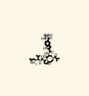 C=C(N)CC[C@H](NC(=O)[C@@H]1CC[C@@H]2CCN(C(=O)C(C)C)C[C@H](NC(=O)c3cc4cc(C(=O)P(=O)(O)O)ccc4[nH]3)C(=O)N21)C(C)C